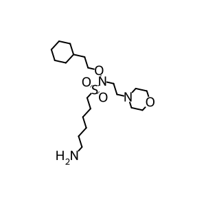 NCCCCCCS(=O)(=O)N(CCN1CCOCC1)OCCC1CCCCC1